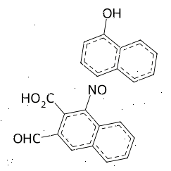 O=Cc1cc2ccccc2c(N=O)c1C(=O)O.Oc1cccc2ccccc12